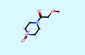 COCC(=O)N1CC[PH](=O)CC1